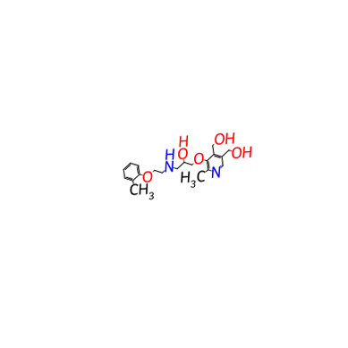 Cc1ccccc1OCCNCC(O)COc1c(C)ncc(CO)c1CO